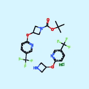 CC(C)(C)OC(=O)N1CC(Oc2ccc(C(F)(F)F)cn2)C1.Cl.FC(F)(F)c1ccc(OC2CNC2)nc1